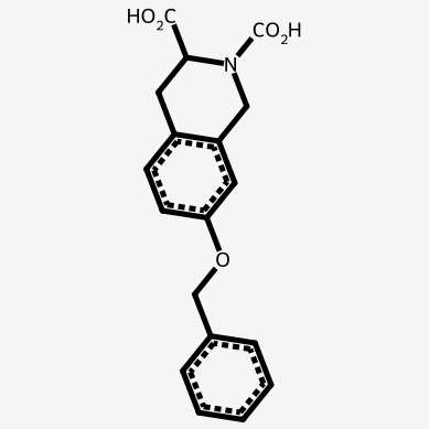 O=C(O)C1Cc2ccc(OCc3ccccc3)cc2CN1C(=O)O